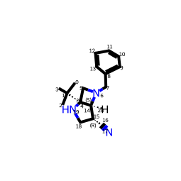 CC(C)(C)[C@]12CN(Cc3ccccc3)[C@H]1[C@H](C#N)CN2